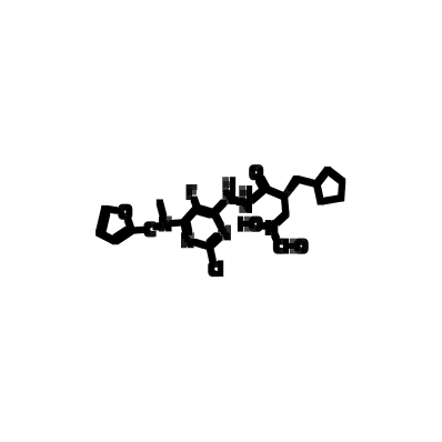 CN(Cc1ccco1)c1nc(Cl)nc(NNC(=O)[C@@H](CC2CCCC2)CN(O)C=O)c1F